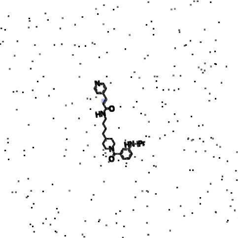 CC(C)Nc1cccc(C(=O)N2CCC(CCCCNC(=O)/C=C/c3ccncc3)CC2)c1